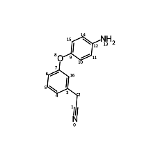 N#C[CH]c1cccc(Oc2ccc(N)cc2)c1